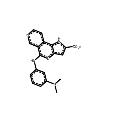 CN(C)c1cccc(Nc2nc3cc(C(=O)O)[nH]c3c3ccncc23)c1